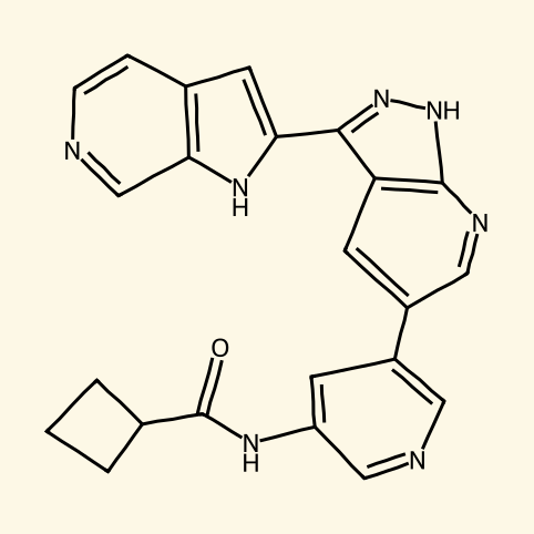 O=C(Nc1cncc(-c2cnc3[nH]nc(-c4cc5ccncc5[nH]4)c3c2)c1)C1CCC1